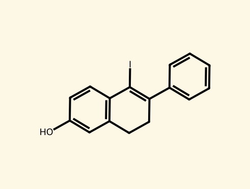 Oc1ccc2c(c1)CCC(c1ccccc1)=C2I